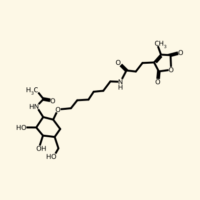 CC(=O)NC1C(OCCCCCCNC(=O)CCC2=C(C)C(=O)OC2=O)CC(CO)C(O)C1O